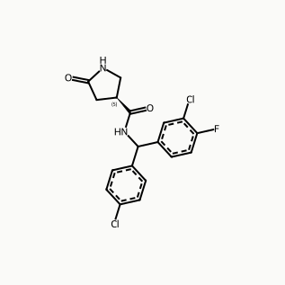 O=C1C[C@H](C(=O)NC(c2ccc(Cl)cc2)c2ccc(F)c(Cl)c2)CN1